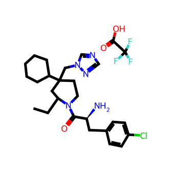 CCC1CC(Cn2cncn2)(C2CCCCC2)CCN1C(=O)[C@@H](N)Cc1ccc(Cl)cc1.O=C(O)C(F)(F)F